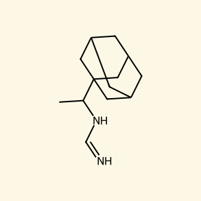 CC(NC=N)C12CC3CC(CC(C3)C1)C2